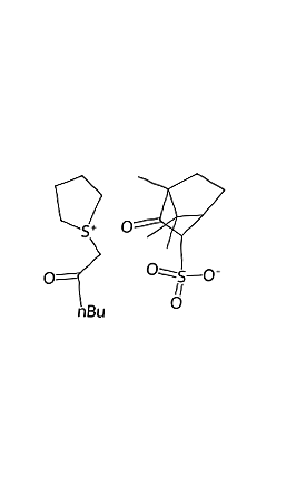 CC12CCC(C(S(=O)(=O)[O-])C1=O)C2(C)C.CCCCC(=O)C[S+]1CCCC1